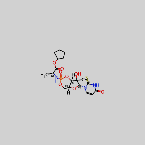 C[C@H](NP1(=O)OC[C@H]2O[C@@H](n3ccc(=O)[nH]c3=S)C(C)(O)[C@H]2O1)C(=O)OC1CCCC1